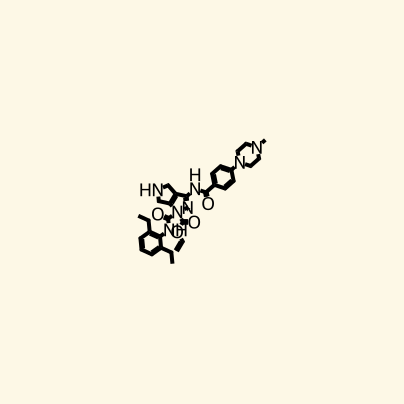 C=COC(=O)[N+]1(C(=O)Nc2c(CC)cccc2CC)N=C(NC(=O)c2ccc(N3CCN(C)CC3)cc2)C2=C1CNC2